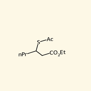 CCCC(CC(=O)OCC)SC(C)=O